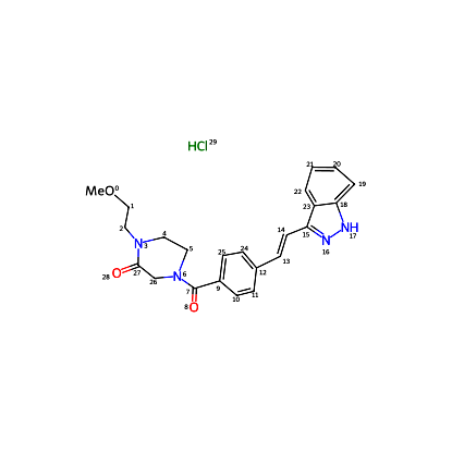 COCCN1CCN(C(=O)c2ccc(/C=C/c3n[nH]c4ccccc34)cc2)CC1=O.Cl